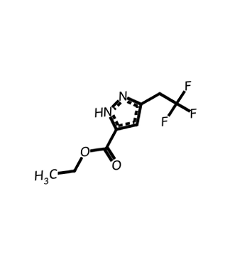 CCOC(=O)c1cc(CC(F)(F)F)n[nH]1